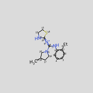 CCc1ccccc1NC(=[N+]=C1NCCS1)N1CCC(C)C1